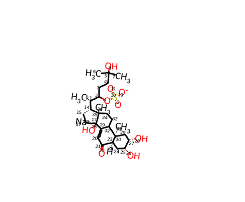 C[C@H](C(CCC(C)(C)O)OS(=O)(=O)[O-])[C@H]1CC[C@@]2(O)C3=CC(=O)[C@@H]4C[C@@H](O)[C@@H](O)C[C@]4(C)C3CC[C@]12C.[Na+]